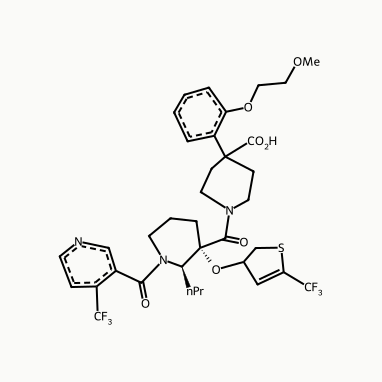 CCC[C@H]1N(C(=O)c2cnccc2C(F)(F)F)CCC[C@@]1(OC1C=C(C(F)(F)F)SC1)C(=O)N1CCC(C(=O)O)(c2ccccc2OCCOC)CC1